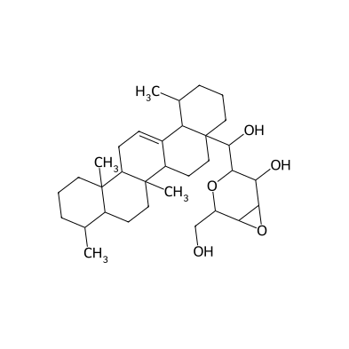 CC1CCCC2(C)C1CCC1(C)C3CCC4(C(O)C5OC(CO)C6OC6C5O)CCCC(C)C4C3=CCC12